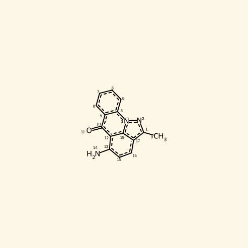 Cc1nn2c3ccccc3c(=O)c3c(N)ccc1c32